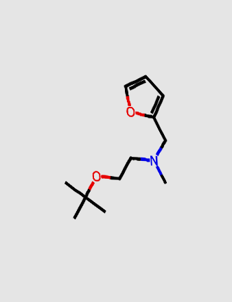 CN(CCOC(C)(C)C)Cc1ccco1